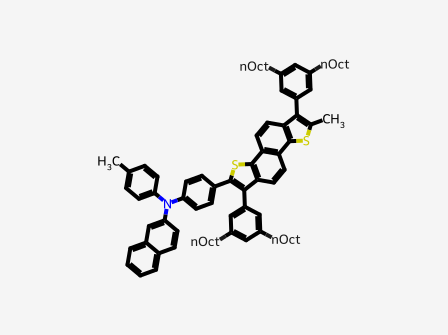 CCCCCCCCc1cc(CCCCCCCC)cc(-c2c(C)sc3c2ccc2c3ccc3c(-c4cc(CCCCCCCC)cc(CCCCCCCC)c4)c(-c4ccc(N(c5ccc(C)cc5)c5ccc6ccccc6c5)cc4)sc32)c1